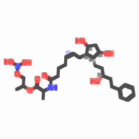 CC(CON(O)O)OC(=O)C(C)NC(=O)CCC/C=C\C[C@@H]1[C@@H](CC[C@@H](O)CCc2ccccc2)[C@H](O)C[C@@H]1O